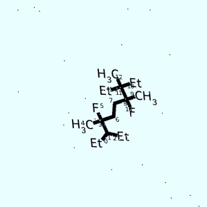 CCC(CC)C(C)(F)CCC(C)(F)C(C)(CC)CC